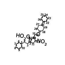 O=C(O)N1[C@H](CCc2ccccc2)CC([N+](=O)[O-])[C@@H]1COC1CCC(c2ccccc2)CC1